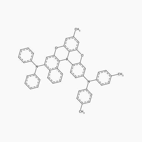 Cc1ccc(N(c2ccc(C)cc2)c2ccc3c(c2)Oc2cc(C)cc4c2B3c2c(cc(N(c3ccccc3)c3ccccc3)c3ccccc23)O4)cc1